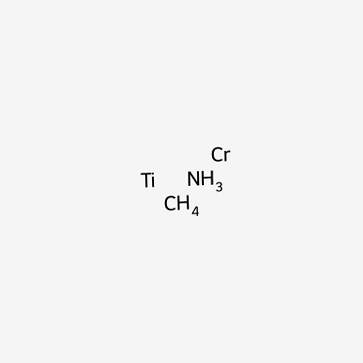 C.N.[Cr].[Ti]